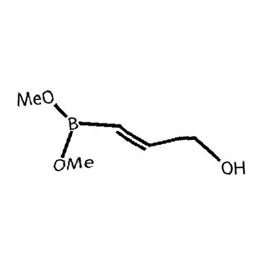 COB(/C=C/CO)OC